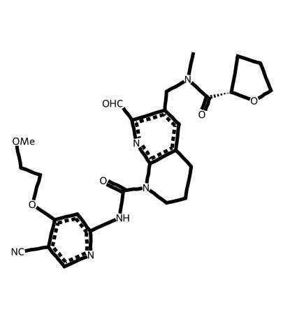 COCCOc1cc(NC(=O)N2CCCc3cc(CN(C)C(=O)[C@@H]4CCCO4)c(C=O)nc32)ncc1C#N